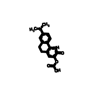 CN(C)c1ccc2c(c1)CCc1cc(OC(=O)O)c(=O)[nH]c1-2